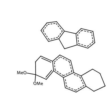 COC1(OC)C=c2c(ccc3c4c(ccc23)CCCC4)=CC1.c1ccc2c(c1)Cc1ccccc1-2